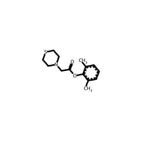 Cc1cccc(C)c1OC(=O)CN1CCSCC1